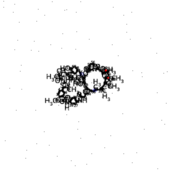 COc1ccc(-c2sc(NC(=O)C(C)(C)C)nc2C)cc1S(=O)(=O)Nc1ccc(NC(=O)CCC[C@@H]2/C=C(\C)C[C@H](C)C[C@H](OC)[C@H]3O[C@@](O)(C(=O)C(=O)N4CCCC[C@H]4C(=O)O[C@H](/C(C)=C/[C@@H]4CC[C@@H](O)[C@H](OC)C4)[C@H](C)[C@@H](O)CC2=O)[C@H](C)C[C@@H]3OC)cc1